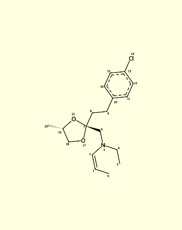 C/C=C\N(CC)C[C@@]1(CCc2ccc(Cl)cc2)OC[C@H](C)O1